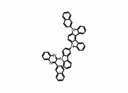 c1ccc2cc(-c3nc4ccccc4nc3-n3c4ccccc4c4cc(-n5c6ccccc6c6c7c8ccccc8n(-c8ccc9ccccc9c8)c7ccc65)ccc43)ccc2c1